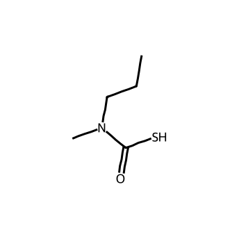 CCCN(C)C(=O)S